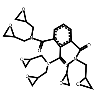 O=C(c1cccc(C(=O)N(CC2CO2)CC2CO2)c1C(=O)N(CC1CO1)CC1CO1)N(CC1CO1)CC1CO1